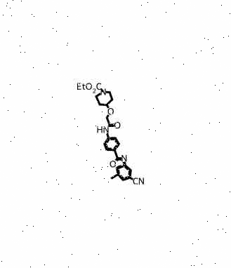 CCOC(=O)N1CCC(OCC(=O)Nc2ccc(-c3nc4cc(C#N)cc(C)c4o3)cc2)CC1